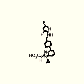 C1CC1.O=C(O)Nc1nc2cccc(-c3ccc(CNc4ncc(F)cc4F)cc3)n2n1